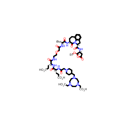 CCO[C@@H]1OC(=O)C[C@@H]1NC(=O)[C@@H]1Cc2cccc3c2N1C(=O)[C@@H](NC(=O)[C@@H](NC(=O)COCCNC(=O)[C@@H](CCC(=O)O)NC(=O)[C@@H](CCC(=O)O)NC(=O)CN1CCC(CN2CCN(CC(=O)O)CCN(CC(=O)O)CC2)CC1)[C@@H](C)CC)CC3